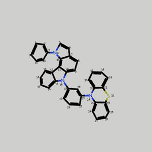 c1ccc(-n2ccc3ccc4c(c5ccccc5n4-c4cccc(N5c6ccccc6Sc6ccccc65)c4)c32)cc1